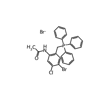 CC(=O)Nc1cc(Cl)c(Br)cc1C[P+](c1ccccc1)(c1ccccc1)c1ccccc1.[Br-]